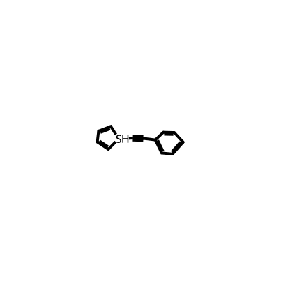 C(#C[SH]1C=CC=C1)c1ccccc1